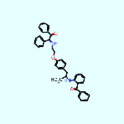 O=C(c1ccccc1)c1ccccc1NC(Cc1ccc(OCCNC(C(=O)c2ccccc2)c2ccccc2)cc1)C(=O)O